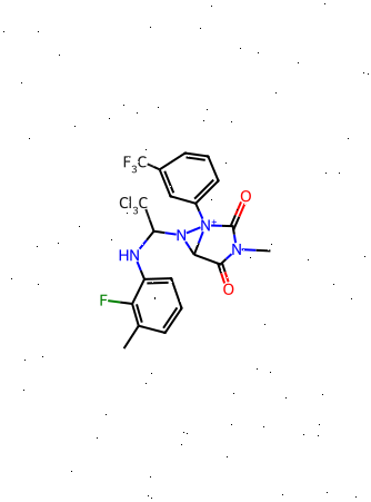 Cc1cccc(NC(N2C3C(=O)N(C)C(=O)[N+]32c2cccc(C(F)(F)F)c2)C(Cl)(Cl)Cl)c1F